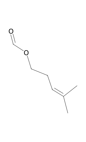 CC(C)=CCCOC=O